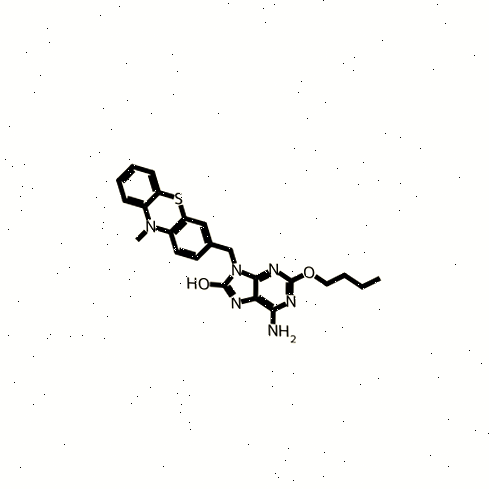 CCCCOc1nc(N)c2nc(O)n(Cc3ccc4c(c3)Sc3ccccc3N4C)c2n1